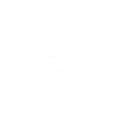 CC(=O)NC1CCN(c2cc(-c3ccc(OC(F)(F)F)c(F)c3)ncn2)C1